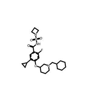 O=C(NS(=O)(=O)N1CCC1)c1cc(C2CC2)c(OC2CCCN(CC3CCCCC3)C2)cc1F